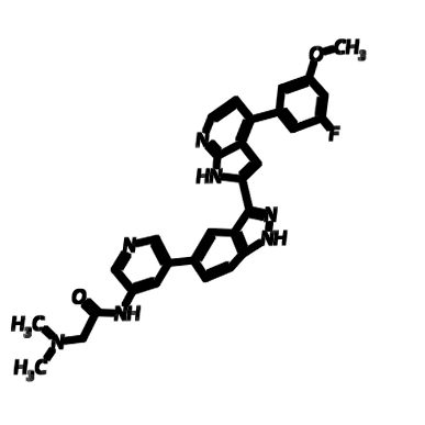 COc1cc(F)cc(-c2ccnc3[nH]c(-c4n[nH]c5ccc(-c6cncc(NC(=O)CN(C)C)c6)cc45)cc23)c1